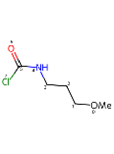 COCCCNC(=O)Cl